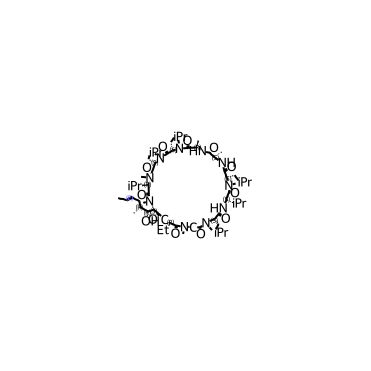 C/C=C/C[C@@H](C)[C@@H](O)[C@H]1C(=O)C[C@@H](CC)C(=O)N(C)CC(=O)N(C)[C@@H](CC(C)C)C(=O)N[C@@H](C(C)C)C(=O)N(C)[C@@H](CC(C)C)C(=O)N[C@@H](C)C(=O)N[C@H](C)C(=O)N(C)[C@@H](CC(C)C)C(=O)N(C)[C@@H](CC(C)C)C(=O)N(C)[C@H](C(C)C)C(=O)N1C